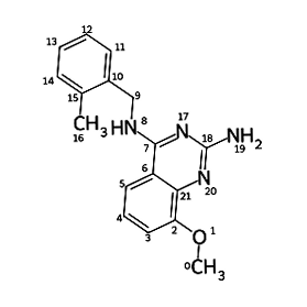 COc1cccc2c(NCc3ccccc3C)nc(N)nc12